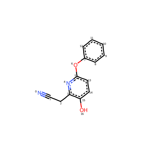 N#CCc1nc(Oc2ccccc2)ccc1O